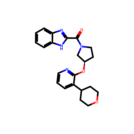 O=C(c1nc2ccccc2[nH]1)N1CC[C@@H](Oc2ncccc2C2CCOCC2)C1